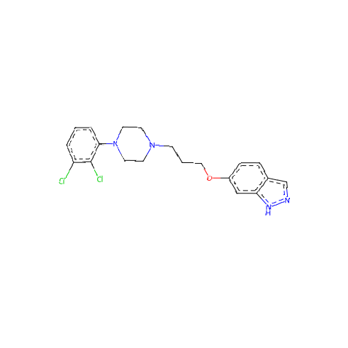 Clc1cccc(N2CCN(CCCOc3ccc4cn[nH]c4c3)CC2)c1Cl